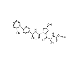 C[C@H](NC(=O)[C@@H]1C[C@@H](O)CN1C(=O)[C@@H](NC(=O)OC(C)(C)C)C(C)(C)C)c1ccc(-c2ccncc2C#N)cc1